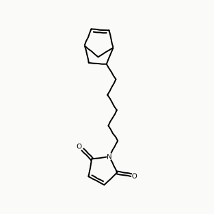 O=C1C=CC(=O)N1CCCCCC1CC2C=CC1C2